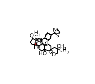 CC1(C)COOC2(CC[C@@]34Cc5cc(-c6nccs6)ccc5[C@H]5C[C@]6(C)C(=O)CC[C@H]6[C@H](CC[C@@]3(O)C2)[C@H]54)C1